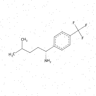 CC(C)CC[C@@H](N)c1ccc(C(F)(F)F)cc1